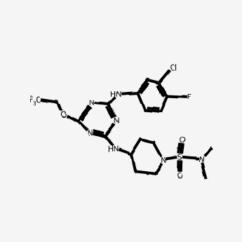 CN(C)S(=O)(=O)N1CCC(Nc2nc(Nc3ccc(F)c(Cl)c3)nc(OCC(F)(F)F)n2)CC1